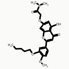 CCCCCOc1cc(-c2cc(=O)c3c(O)cc(OCC(=O)N(C)C)cc3o2)ccc1OC